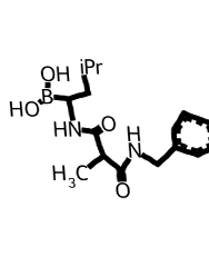 CC(C)CC(NC(=O)C(C)C(=O)NCc1ccccc1)B(O)O